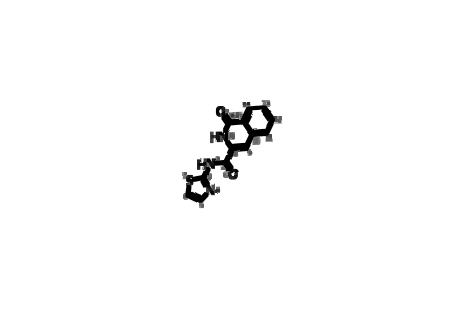 O=C(Nc1nccs1)c1cc2ccccc2c(=O)[nH]1